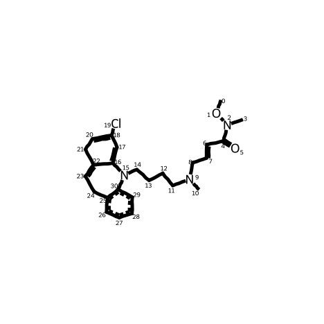 CON(C)C(=O)/C=C/CN(C)CCCCN1C2=CC(Cl)=CCC2=CCc2ccccc21